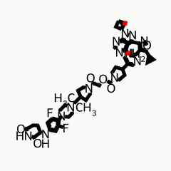 CC(C)(C1CCN(C(=O)COC(=O)N2CCC(c3cnc(-c4c(-c5nn(C67CC(C6)C7)c6ncnc(N)c56)noc4C4CC4)nc3)CC2)CC1)N1CCN(c2c(F)cc(NC3CCC(=O)NC3=O)cc2F)CC1